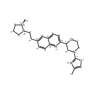 Cc1csc(N2CCOC(c3ccc4cc(CCN5CCC[C@H]5C)ccc4n3)C2)n1